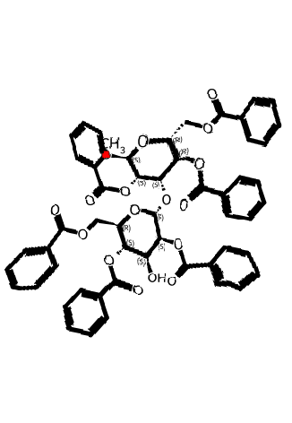 CO[C@H]1O[C@H](COC(=O)c2ccccc2)[C@@H](OC(=O)c2ccccc2)[C@H](O[C@H]2O[C@H](COC(=O)c3ccccc3)[C@@H](OC(=O)c3ccccc3)[C@H](O)[C@@H]2OC(=O)c2ccccc2)[C@@H]1OC(=O)c1ccccc1